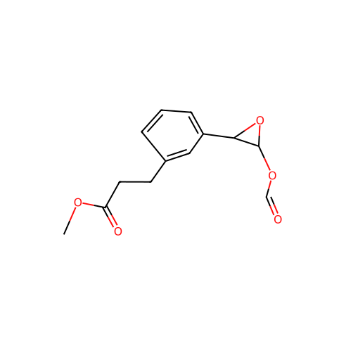 COC(=O)CCc1cccc(C2OC2OC=O)c1